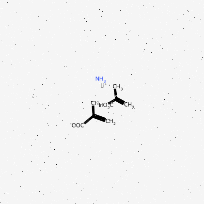 C=C(C)C(=O)O.C=C(C)C(=O)[O-].N.[Li+]